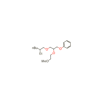 CCCCC(CC)COCC(COc1ccccc1)OCCOC